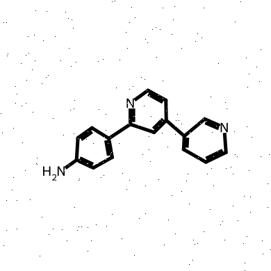 Nc1ccc(-c2cc(-c3cccnc3)ccn2)cc1